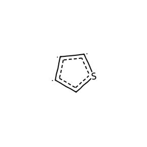 [c]1[c]cs[c]1